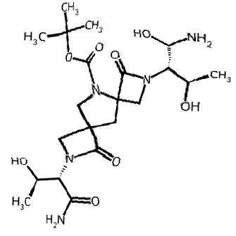 C[C@@H](O)[C@@H](C(N)=O)N1CC2(CN(C(=O)OC(C)(C)C)C3(CN([C@H](C(N)O)[C@@H](C)O)C3=O)C2)C1=O